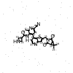 Cc1nc(C#N)cc(-c2ccnc3cc(CN4C(=O)C5C(C4=O)C5(C)C)sc23)c1NC(=O)C1CNC1